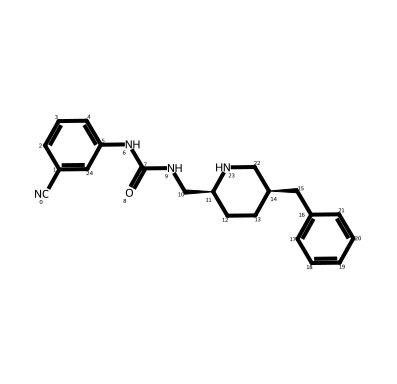 N#Cc1cccc(NC(=O)NC[C@@H]2CC[C@H](Cc3ccccc3)CN2)c1